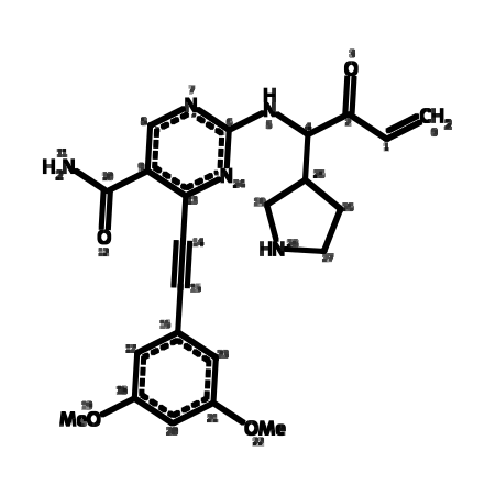 C=CC(=O)C(Nc1ncc(C(N)=O)c(C#Cc2cc(OC)cc(OC)c2)n1)C1CCNC1